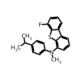 CC(C)c1ccc(N(C)c2cccc3c2sc2c(F)cccc23)cc1